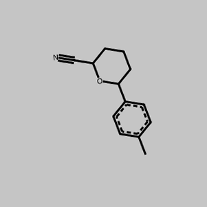 Cc1ccc(C2CCCC(C#N)O2)cc1